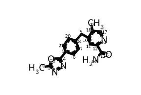 Cc1nnc(-c2ccc(Cc3cc(C(N)=O)ncc3C)cc2)o1